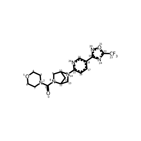 O=C(N1CCOCC1)N1CC2CC1CN2c1ccc(-c2noc(C(F)(F)F)n2)cn1